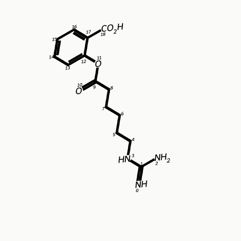 N=C(N)NCCCCCC(=O)Oc1ccccc1C(=O)O